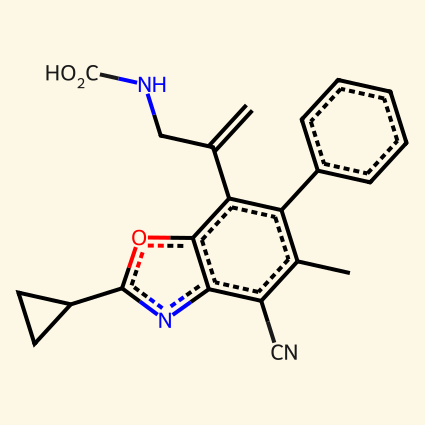 C=C(CNC(=O)O)c1c(-c2ccccc2)c(C)c(C#N)c2nc(C3CC3)oc12